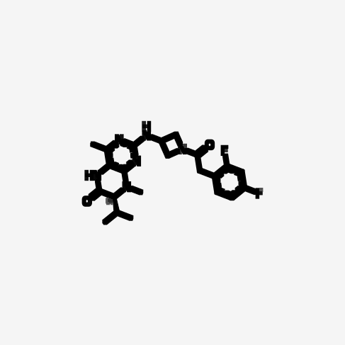 Cc1nc(NC2CN(C(=O)Cc3ccc(F)cc3F)C2)nc2c1NC(=O)[C@H](C(C)C)N2C